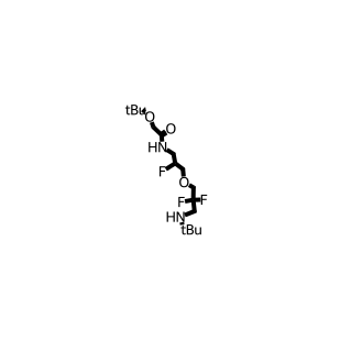 CC(C)(C)NCC(F)(F)COCC(F)CNC(=O)COC(C)(C)C